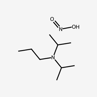 CCCN(C(C)C)C(C)C.O=NO